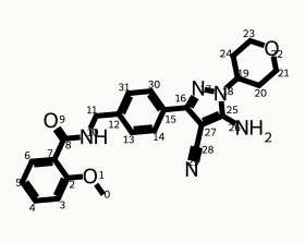 COc1ccccc1C(=O)NCc1ccc(-c2nn(C3CCOCC3)c(N)c2C#N)cc1